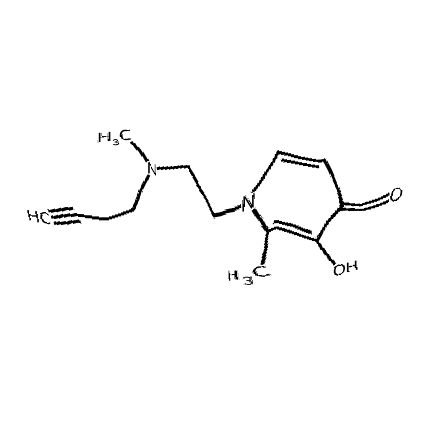 C#CCN(C)CCn1ccc(=O)c(O)c1C